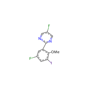 COc1c(I)cc(F)cc1-c1ncc(F)cn1